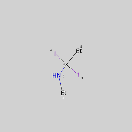 CCNC(I)(I)CC